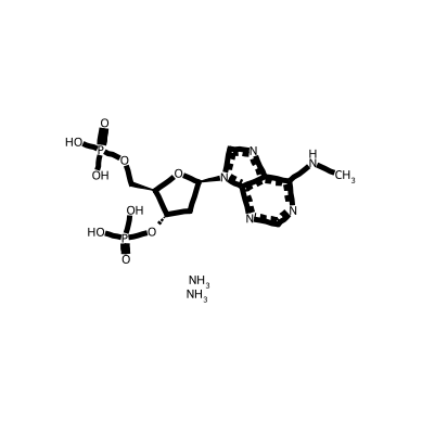 CNc1ncnc2c1ncn2[C@H]1C[C@H](OP(=O)(O)O)[C@@H](COP(=O)(O)O)O1.N.N